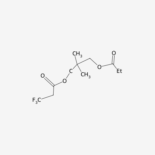 CCC(=O)OCC(C)(C)COC(=O)CC(F)(F)F